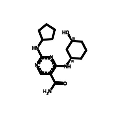 NC(=O)c1cnc(NC2CCCC2)nc1N[C@@H]1CCC[C@H](O)C1